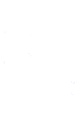 CC(C)(C)OC(=O)NC(Cc1ccc2[nH]ncc2c1)C(=O)O